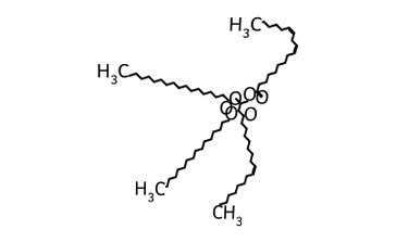 CCCCC/C=C\C/C=C\CCCCCCCC(=O)OCC(OC(=O)CCCCCCCCCCCCCCCCC)C(OCCCCCCCCCCCCCCCC)C(=O)CCCCCCC/C=C\CCCCCCCC